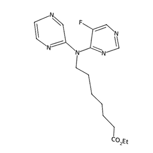 CCOC(=O)CCCCCCN(c1cnccn1)c1ncncc1F